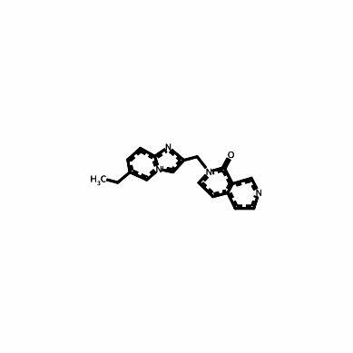 CCc1ccc2nc(Cn3ccc4ccncc4c3=O)cn2c1